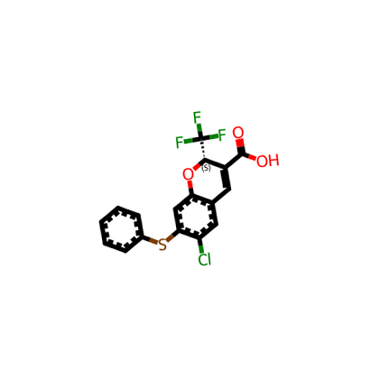 O=C(O)C1=Cc2cc(Cl)c(Sc3ccccc3)cc2O[C@@H]1C(F)(F)F